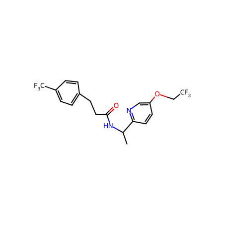 CC(NC(=O)CCc1ccc(C(F)(F)F)cc1)c1ccc(OCC(F)(F)F)cn1